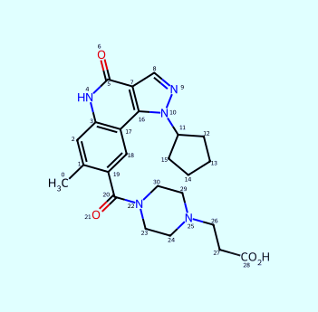 Cc1cc2[nH]c(=O)c3cnn(C4CCCC4)c3c2cc1C(=O)N1CCN(CCC(=O)O)CC1